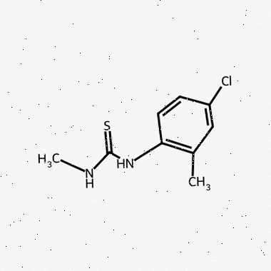 CNC(=S)Nc1ccc(Cl)cc1C